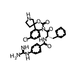 N=C(N)Nc1ccc(C(=O)N[C@@H](Cc2ccccc2)C(=O)N2C(=O)OC3(CCNC3)c3cc(Cl)ccc32)cc1